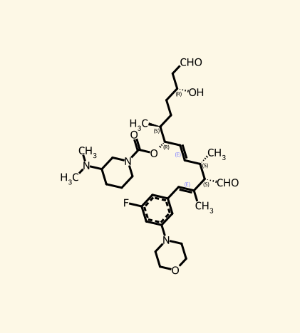 C/C(=C\c1cc(F)cc(N2CCOCC2)c1)[C@@H](C=O)[C@@H](C)/C=C/[C@H](OC(=O)N1CCCC(N(C)C)C1)[C@@H](C)CC[C@@H](O)CC=O